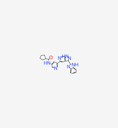 O=C(Nc1cncc(-c2cc3c(-c4nc5ccccc5[nH]4)n[nH]c3cn2)c1)C1CCCC1